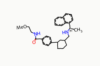 COCCNC(=O)c1ccc(C2CCCC(CN[C@H](C)c3cccc4ccccc34)C2)cc1